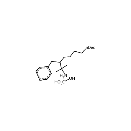 CCCCCCCCCCCCCCC(Cc1ccccc1)C(C)(C)N.O=C(O)O